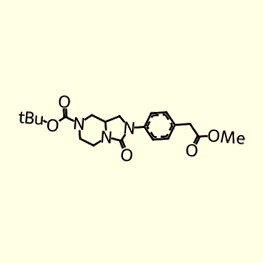 COC(=O)Cc1ccc(N2CC3CN(C(=O)OC(C)(C)C)CCN3C2=O)cc1